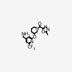 Cc1nnc(C(=O)N2CCC[C@H](Oc3cc(CN)cc(C(F)(F)F)n3)C2)o1